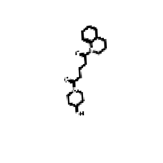 O=C(CCCC(=O)N1CCCC2CCCC=C21)N1CCC(O)CC1